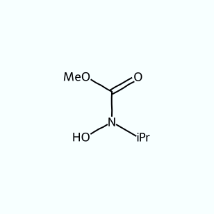 COC(=O)N(O)C(C)C